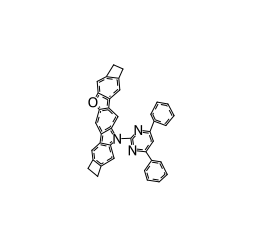 c1ccc(-c2cc(-c3ccccc3)nc(-n3c4cc5c(cc4c4cc6oc7cc8c(cc7c6cc43)CC8)CC5)n2)cc1